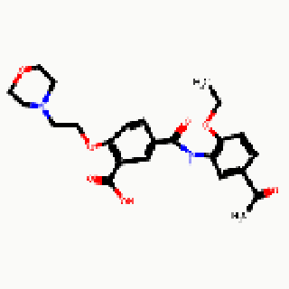 CCOc1ccc(C(C)=O)cc1NC(=O)c1ccc(OCCN2CCOCC2)c(C(=O)O)c1